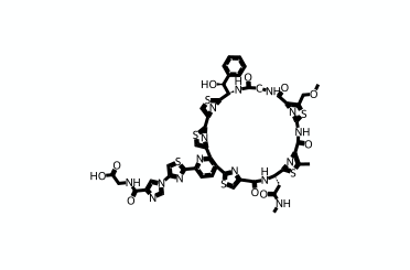 CNC(=O)C[C@@H]1NC(=O)c2csc(n2)-c2ccc(-c3nc(-n4cnc(C(=O)NCC(=O)O)c4)cs3)nc2-c2csc(n2)-c2csc(n2)[C@H]([C@@H](O)c2ccccc2)NC(=O)CNC(=O)c2nc(sc2COC)NC(=O)c2nc1sc2C